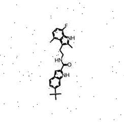 Cc1[nH]c2c(F)ccc(C)c2c1CCNC(=O)c1cc2ccc(C(C)(C)C)cc2[nH]1